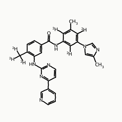 [2H]c1c(C)c([2H])c(-n2cnc(C)c2)c([2H])c1NC(=O)c1ccc(C([2H])([2H])[2H])c(Nc2nccc(-c3cccnc3)n2)c1